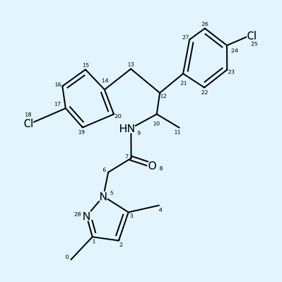 Cc1cc(C)n(CC(=O)NC(C)C(Cc2ccc(Cl)cc2)c2ccc(Cl)cc2)n1